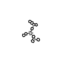 c1ccc(-n2c3ccccc3c3cc(-c4nc(-c5ccc(-n6c7ccccc7c7cc8ccccc8cc76)cc5)nc(-c5ccc6ccccc6c5)n4)ccc32)cc1